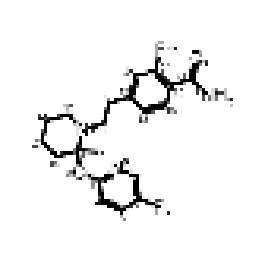 CC1(Oc2ccc(F)cn2)CCCCN1CCc1ccc(C(N)=O)c(F)c1